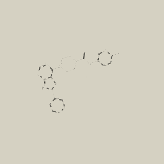 Cc1ccc(NC(=O)N2CCN(c3ncnc4[nH]c(-c5ccncc5)cc34)C[C@H]2C)cn1